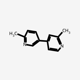 Cc1ccc(-c2ccnc(C)c2)cn1